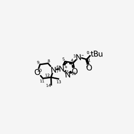 CC(C)(C)C(=O)[N-]c1c[n+](N2CCOCC2(C)C)no1